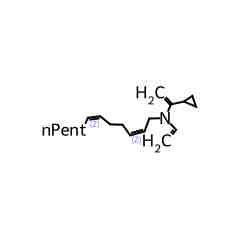 C=CN(C/C=C\CC/C=C\CCCCC)C(=C)C1CC1